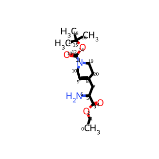 CCOC(=O)C(N)CC1=CCN(C(=O)OC(C)(C)C)CC1